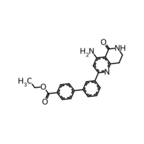 CCOC(=O)c1ccc(-c2cccc(-c3cc(N)c4c(n3)CCNC4=O)c2)cc1